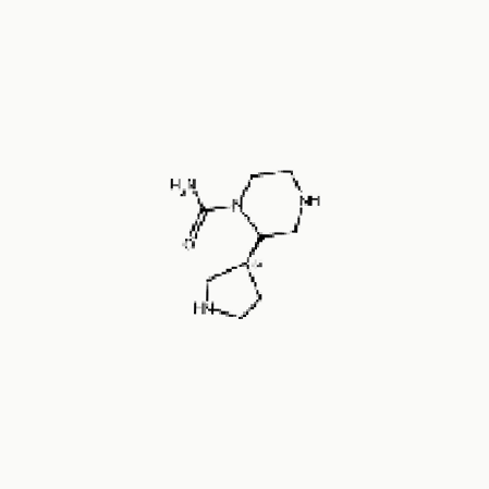 NC(=O)N1CCNCC1[C@H]1CCNC1